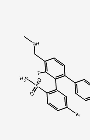 CNCc1ccc(-c2ccccc2)c(-c2cc(Br)ccc2S(N)(=O)=O)c1F